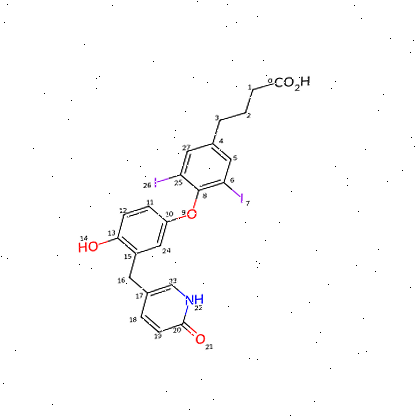 O=C(O)CCCc1cc(I)c(Oc2ccc(O)c(Cc3ccc(=O)[nH]c3)c2)c(I)c1